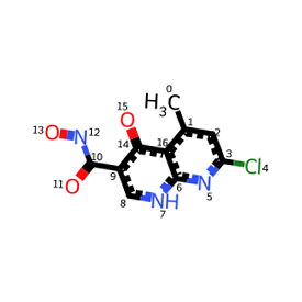 Cc1cc(Cl)nc2[nH]cc(C(=O)N=O)c(=O)c12